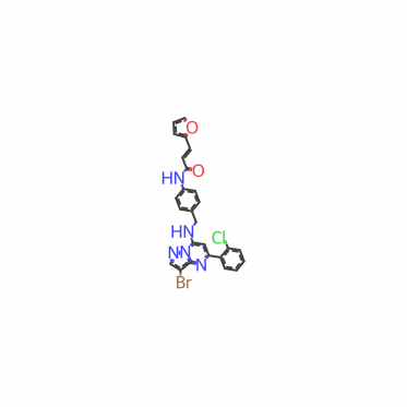 O=C(/C=C/c1ccco1)Nc1ccc(CNc2cc(-c3ccccc3Cl)nc3c(Br)cnn23)cc1